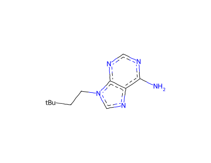 CC(C)(C)CCn1cnc2c(N)ncnc21